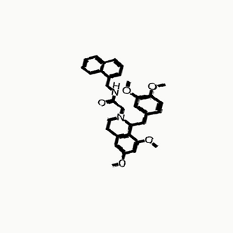 COc1cc2c(c(OC)c1)C(Cc1ccc(OC)c(OC)c1)N(CC(=O)NCc1cccc3ccccc13)CC2